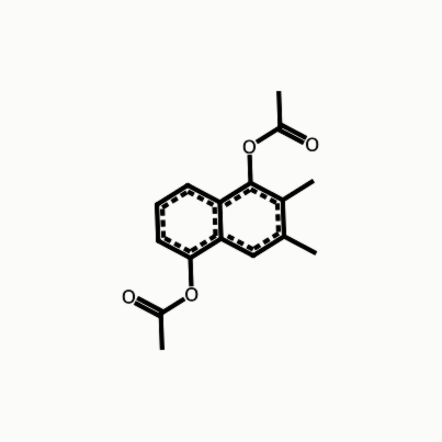 CC(=O)Oc1cccc2c(OC(C)=O)c(C)c(C)cc12